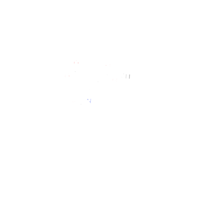 COC(=O)c1cc(NC(=O)C2CCC(C3CCCC3)CC2)cc(C(=O)OC)c1